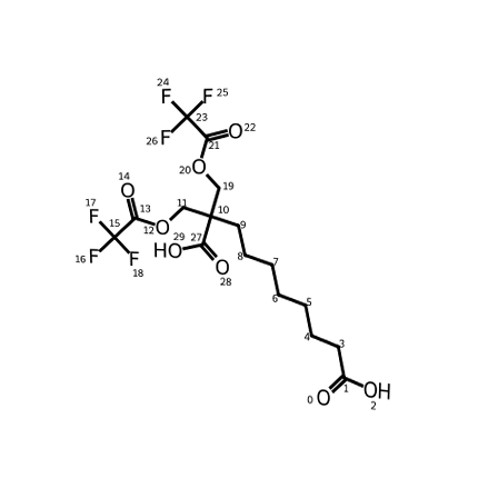 O=C(O)CCCCCCCC(COC(=O)C(F)(F)F)(COC(=O)C(F)(F)F)C(=O)O